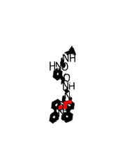 O=C(CNCC1CC1)Nc1cccc(C(=O)CNCCN2CCC(OC(=O)N(c3ccccc3-c3ccccc3)c3ccccc3-c3ccccc3)CC2)c1